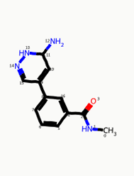 CNC(=O)c1cccc(C2=CC(N)NN=C2)c1